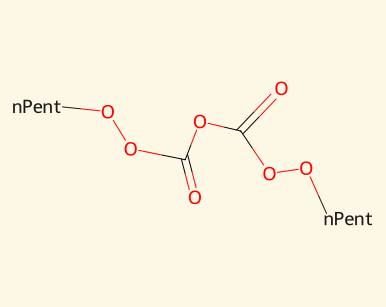 CCCCCOOC(=O)OC(=O)OOCCCCC